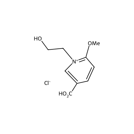 COc1ccc(C(=O)O)c[n+]1CCO.[Cl-]